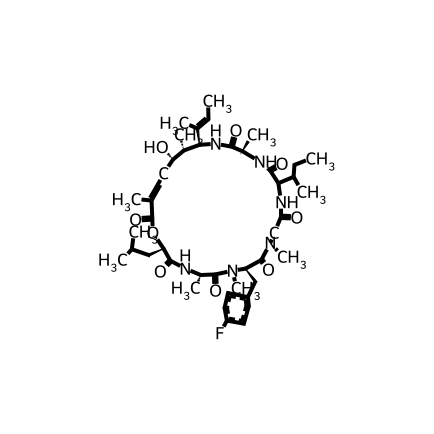 C/C=C(\C)[C@H]1NC(=O)[C@@H](C)NC(=O)C(C(C)CC)NC(=O)CN(C)C(=O)[C@@H](Cc2ccc(F)cc2)N(C)C(=O)[C@H](C)NC(=O)[C@@H](CC(C)C)OC(=O)/C(C)=C/C[C@H](O)[C@@H]1C